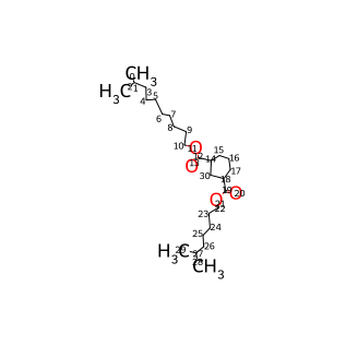 CC(C)CCCCCCCCOC(=O)C1CCCC(C(=O)OCCCCCC(C)C)C1